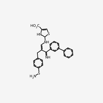 N=C(/C(=C\NC1NC(C(=O)O)=CS1)Cc1ccc(SN)cc1)c1cccc(-c2ccccc2)c1